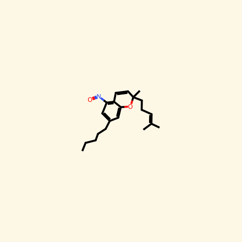 CCCCCc1cc(N=O)c2c(c1)OC(C)(CCC=C(C)C)C=C2